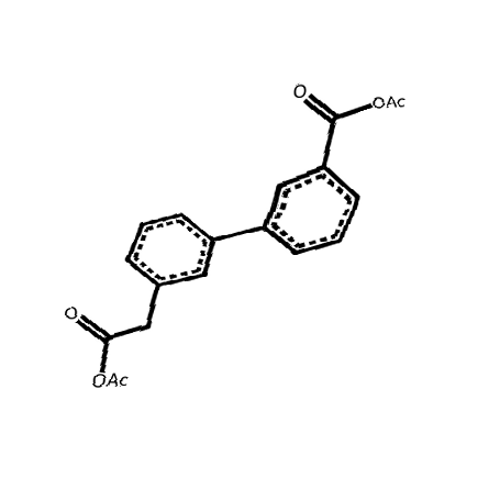 CC(=O)OC(=O)Cc1cccc(-c2cccc(C(=O)OC(C)=O)c2)c1